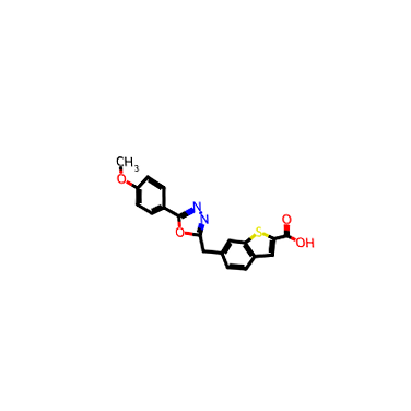 COc1ccc(-c2nnc(Cc3ccc4cc(C(=O)O)sc4c3)o2)cc1